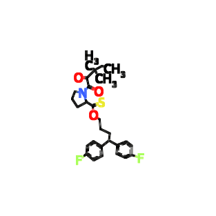 CCC(C)(C)C(=O)C(=O)N1CCCC1C(=S)OCCCC(c1ccc(F)cc1)c1ccc(F)cc1